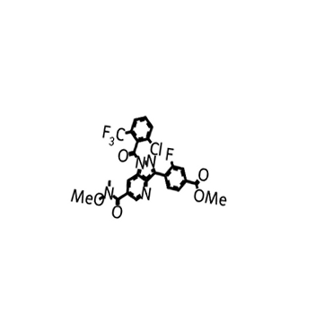 COC(=O)c1ccc(-c2nn(C(=O)c3c(Cl)cccc3C(F)(F)F)c3cc(C(=O)N(C)OC)cnc23)c(F)c1